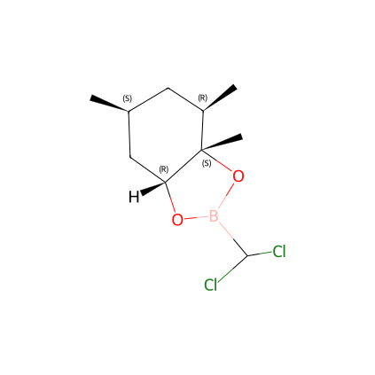 C[C@H]1C[C@@H](C)[C@]2(C)OB(C(Cl)Cl)O[C@@H]2C1